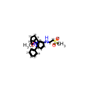 COC1(c2cccc(NCCS(C)(=O)=O)c2)C2CCC1CN(Cc1ccccc1)C2